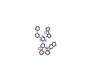 c1ccc(-c2cccc(-c3nc(-c4cc(-n5c6ccccc6c6cc7ccccc7cc65)c5c(c4)oc4ccccc45)nc(-c4cccc5c4oc4ccccc45)n3)c2)cc1